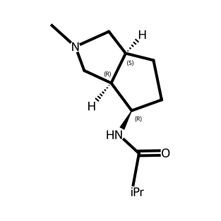 CC(C)C(=O)N[C@@H]1CC[C@@H]2CN(C)C[C@@H]21